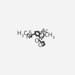 CC(=O)N1c2ccc(-c3cnc(C)s3)cc2N(C(=O)c2ccco2)CC1C